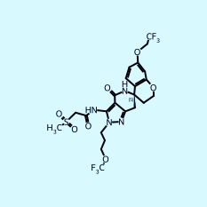 CS(=O)(=O)CC(=O)Nc1c2c(nn1CCCOC(F)(F)F)C[C@@]1(CCOc3cc(OCC(F)(F)F)ccc31)NC2=O